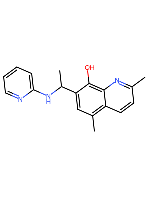 Cc1ccc2c(C)cc(C(C)Nc3ccccn3)c(O)c2n1